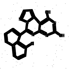 Oc1nc(O)c2c(n1)nc(-c1cccc3cccc(Cl)c13)n1nccc21